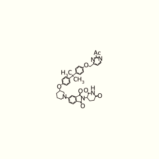 CC(=O)c1nccc(COc2ccc(C(C)(C)c3ccc(OC4CCCN(c5ccc6c(c5)C(=O)N(C5CCC(=O)NC5=O)C6=O)C4)cc3)cc2)n1